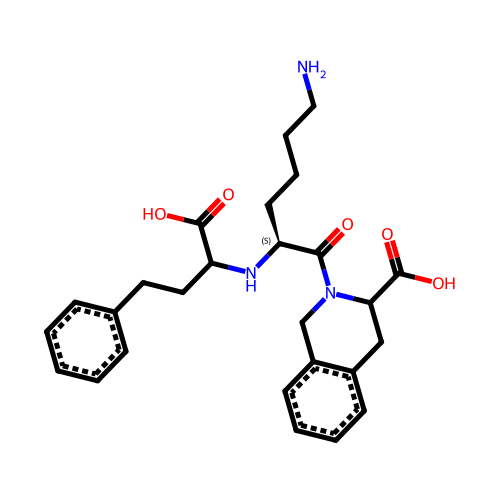 NCCCC[C@H](NC(CCc1ccccc1)C(=O)O)C(=O)N1Cc2ccccc2CC1C(=O)O